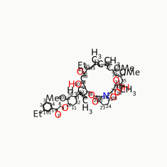 CCc1cccc(C(=O)COC2CCC(C=C(C)C3OC(=O)C4CCCCN4C(=O)C(=O)C4(O)OC(C(OC)CC(C)C/C(C)=C/C(CC)C(=O)CC(O)C3C)C(OC)CC4C)CC2OC)c1